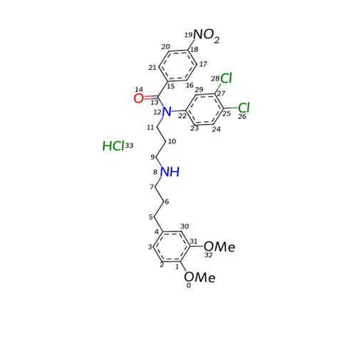 COc1ccc(CCCNCCCN(C(=O)c2ccc([N+](=O)[O-])cc2)c2ccc(Cl)c(Cl)c2)cc1OC.Cl